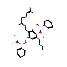 CCCCc1cc(OCN(C(=O)OC)c2ccccc2)c(C/C=C(\C)CCC=C(C)C)c(OCN(C(=O)OC)c2ccccc2)c1